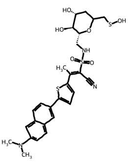 C/C(=C(/C#N)S(=O)(=O)NC[C@H]1OC(CSO)C[C@@H](O)[C@@H]1O)c1ccc(-c2ccc3cc(N(C)C)ccc3c2)s1